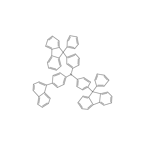 c1ccc(C2(c3ccc(N(c4ccc(-c5cccc6ccccc56)cc4)c4cccc(C5(c6ccccc6)c6ccccc6-c6ccccc65)c4)cc3)c3ccccc3-c3ccccc32)cc1